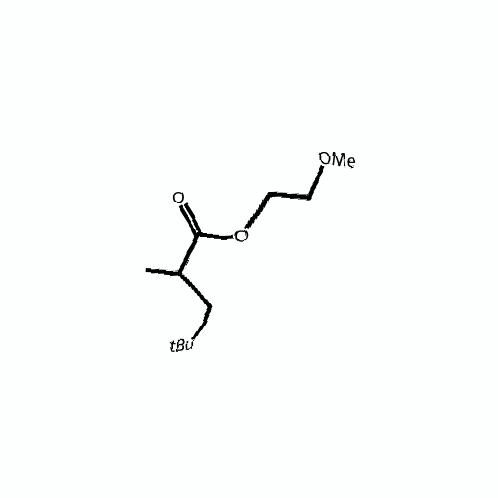 COCCOC(=O)C(C)CC(C)(C)C